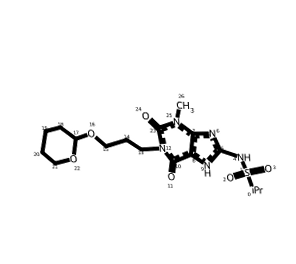 CC(C)S(=O)(=O)Nc1nc2c([nH]1)c(=O)n(CCCOC1CCCCO1)c(=O)n2C